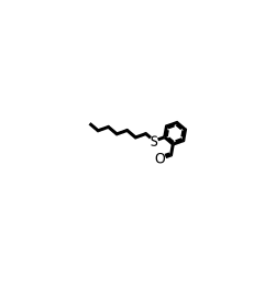 CCCCCCCSc1ccccc1C=O